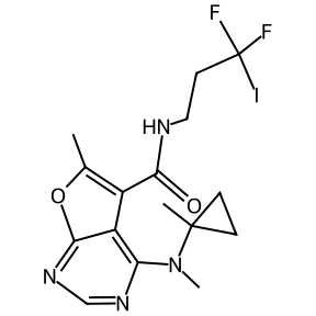 Cc1oc2ncnc(N(C)C3(C)CC3)c2c1C(=O)NCCC(F)(F)I